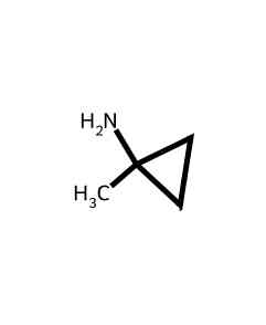 CC1(N)[CH]C1